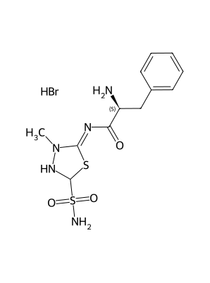 Br.CN1NC(S(N)(=O)=O)SC1=NC(=O)[C@@H](N)Cc1ccccc1